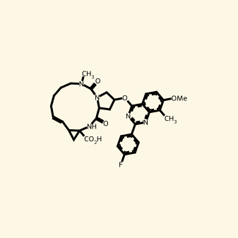 COc1ccc2c(OC3CC4C(=O)NC5(C(=O)O)CC5/C=C/CCCCN(C)C(=O)N4C3)nc(-c3ccc(F)cc3)nc2c1C